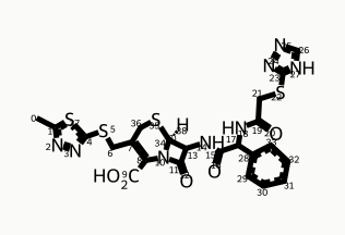 Cc1nnc(SCC2=C(C(=O)O)N3C(=O)C(NC(=O)C(NC(=O)CSc4nnc[nH]4)c4ccccc4)[C@@H]3SC2)s1